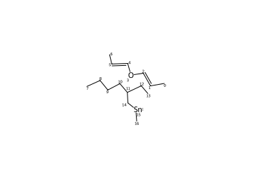 CC=COC=CC.CCCCC(CC)[CH2][Sn][CH3]